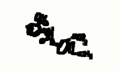 CCOC1C=CC(/C=C/C(=O)Nc2ccccc2C(=O)O)=CC1OC